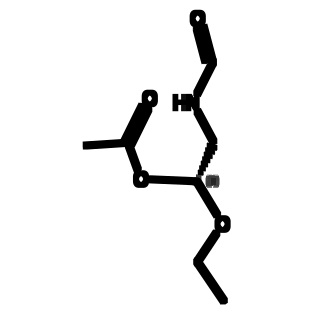 CCO[C@@H](CNC=O)OC(C)=O